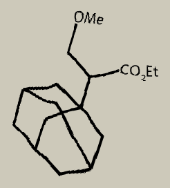 CCOC(=O)C(COC)C12CC3CC(CC(C3)C1)C2